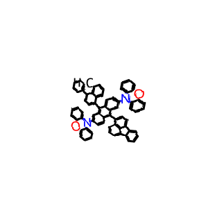 Cc1cccc2c(-c3c4cc(N5c6ccccc6Oc6ccccc65)ccc4c(-c4ccc5c6c(cccc46)-c4ccccc4-5)c4cc(N5c6ccccc6Oc6ccccc65)ccc34)ccc(-c3ccccc3)c12